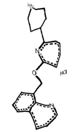 Cl.c1cc(OCc2cccc3cccnc23)nc(C2CCNCC2)c1